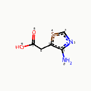 Nc1ncsc1CC(=O)O